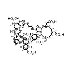 C[C@H](NC(=O)[C@H](CC(=O)O)NC(=O)CCCNC(=O)CN1CCN(CC(=O)O)CCN(CC(=O)O)CCN(CC(=O)O)CC1)C(=O)N[C@@H](Cc1c[nH]cn1)C(=O)N[C@@H](CO)C(=O)N[C@@H](Cc1ccccc1)C(=O)N[C@@H](CO)C(=O)O